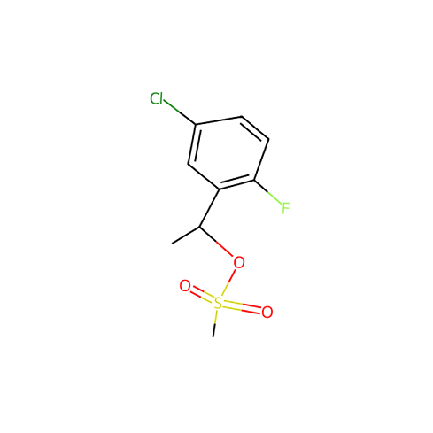 CC(OS(C)(=O)=O)c1cc(Cl)ccc1F